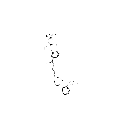 COc1ccccc1N1CCN(CCCCC(=O)c2cccc(NC(=O)CS(C)(=O)=O)c2)CC1